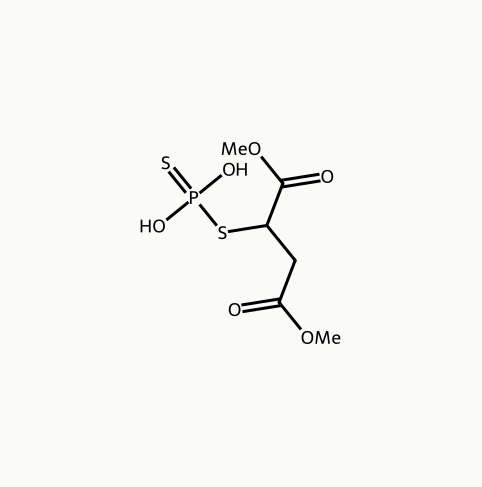 COC(=O)CC(SP(O)(O)=S)C(=O)OC